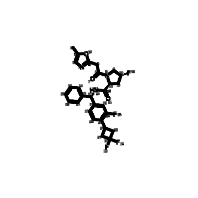 Cc1cnc(CC(=O)N2C[C@H](F)C[C@H]2C(=O)N[C@@H](c2ccccc2)c2ccc(C3CC(F)(F)C3)c(F)c2)o1